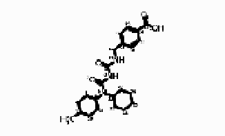 CC1CCC(N(C(=O)NC(=O)NCc2ccc(C(=O)O)cc2)C2CCCCC2)CC1